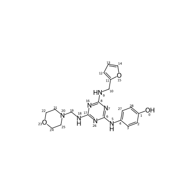 Oc1ccc(Nc2nc(NCc3ccco3)nc(NCN3CCOCC3)n2)cc1